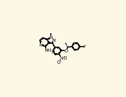 C[C@H](Oc1cc(-c2nn(C)c3ccnc(N)c23)ccc1[N+](=O)[O-])c1ccc(F)cc1